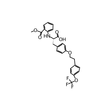 COC(=O)c1ccccc1N[C@@H](Cc1ccc(OCCc2ccc(OC(F)(F)F)cc2)cc1)C(=O)O